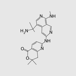 CNc1ncc(C(C)(C)N)c2cc(Nc3ccc4c(n3)CC(C)(C)OC4=O)ncc12